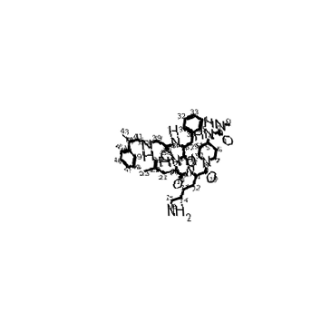 CNC(=O)NC1CCN(C(=O)C(CCCCN)NC(=O)[C@@H](CC(C)C)NC(=O)C(Cc2ccccc2)NC(=O)CNC[C@H](C)c2ccccc2)CC1